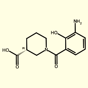 Nc1cccc(C(=O)N2CCC[C@@H](C(=O)O)C2)c1O